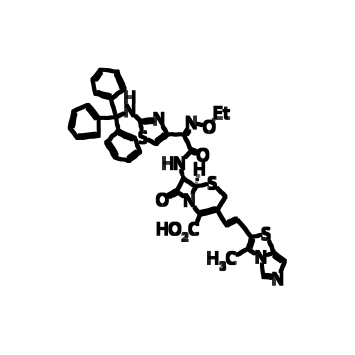 CCO/N=C(\C(=O)N[C@@H]1C(=O)N2C(C(=O)O)=C(/C=C/c3sc4cncn4c3C)CS[C@H]12)c1csc(NC(c2ccccc2)(c2ccccc2)c2ccccc2)n1